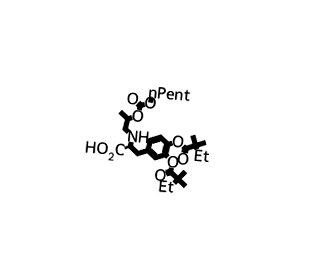 CCCCCOC(=O)OC(C)CN[C@@H](Cc1ccc(OC(=O)C(C)(C)CC)c(OC(=O)C(C)(C)CC)c1)C(=O)O